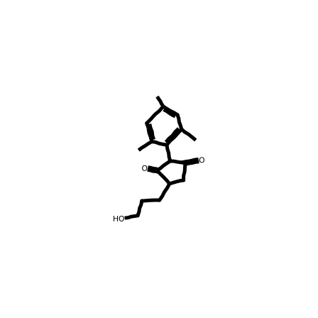 Cc1cc(C)c(C2C(=O)CC(CCCO)C2=O)c(C)c1